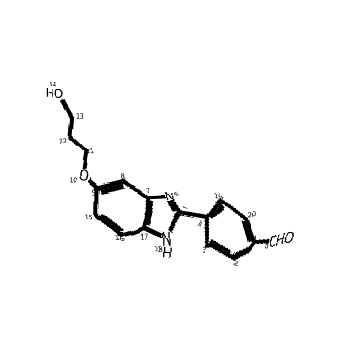 O=Cc1ccc(-c2nc3cc(OCCCO)ccc3[nH]2)cc1